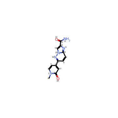 Cn1ccc(-c2ccc3nc(C(N)=O)cn3n2)cc1=O